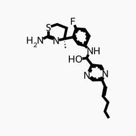 CCC/C=C/c1cnc(C(O)Nc2ccc(F)c([C@]3(C)CCSC(N)=N3)c2)cn1